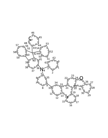 c1ccc(N(c2cccc(-c3ccc4c5ccccc5c5c(ccc6oc7ccccc7c65)c4c3)c2)c2ccc3c(c2)C(c2ccccc2)(c2ccccc2)c2ccccc2-3)cc1